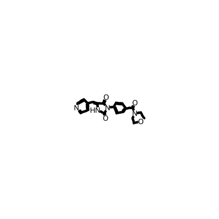 O=C(c1ccc(N2C(=O)N/C(=C\c3ccncc3)C2=O)cc1)N1CCOCC1